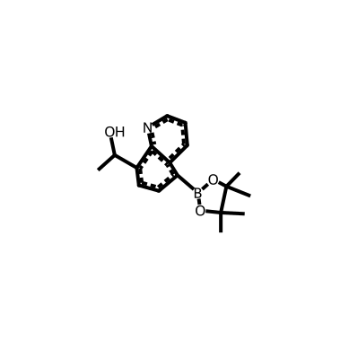 CC(O)c1ccc(B2OC(C)(C)C(C)(C)O2)c2cccnc12